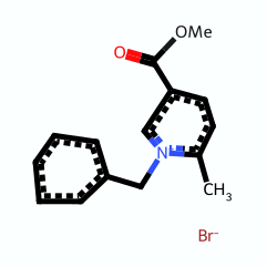 COC(=O)c1ccc(C)[n+](Cc2ccccc2)c1.[Br-]